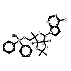 CC1(C)O[C@H]2[C@H](n3ccc4c(Cl)ncnc43)SC(C)(CO[Si](c3ccccc3)(c3ccccc3)C(C)(C)C)[C@H]2O1